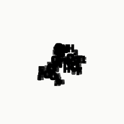 CCOc1cc(F)ccc1C(=O)NCc1nc(-c2ccc(OC(F)F)c(OCC3CC3)c2)oc1C(CC(C)(C)C)OC(N)=O